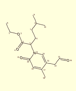 CCOC(=O)C(CCC(C)C)n1cc(CC=O)c(C)cc1=O